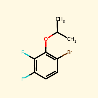 CC(C)Oc1c(Br)ccc(F)c1F